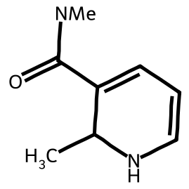 CNC(=O)C1=CC=CNC1C